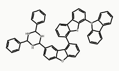 c1ccc(C2NC(c3ccccc3)NC(c3ccc4oc5cccc(-c6cccc7c6sc6c(-n8c9ccccc9c9ccccc98)cccc67)c5c4c3)N2)cc1